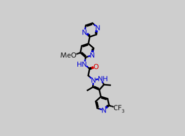 COc1cc(-c2cnccn2)cnc1NC(=O)CN1NC(C)C(c2ccnc(C(F)(F)F)c2)=C1C